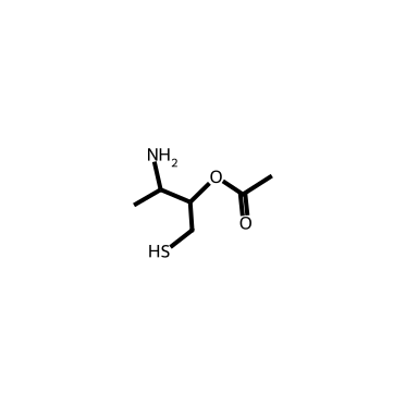 CC(=O)OC(CS)C(C)N